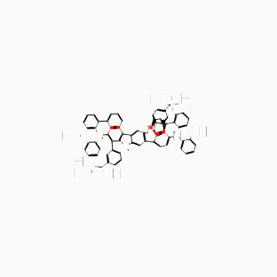 Cc1ccccc1N(c1ccccc1-c1ccccc1)c1ccc2c3cc4c(cc3n3c5ccc(C(C)(C)C)cc5c1c23)c1ccc(N(c2ccccc2C)c2ccccc2-c2ccccc2)c2c3cc(C(C)(C)C)ccc3n4c12